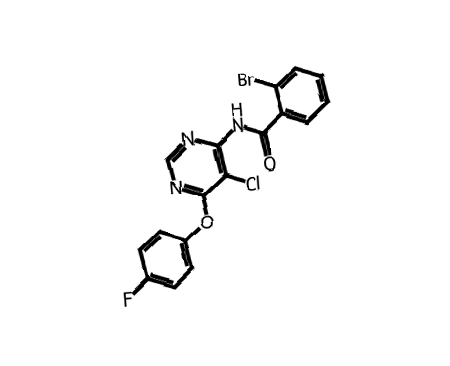 O=C(Nc1ncnc(Oc2ccc(F)cc2)c1Cl)c1ccccc1Br